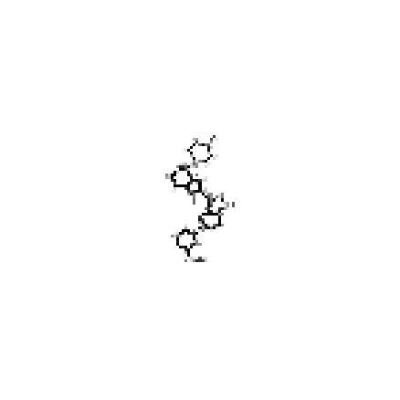 COc1cncc(-c2ccc3[nH]nc(-c4cc5c(N6CCN(C)CC6)nccc5[nH]4)c3n2)c1